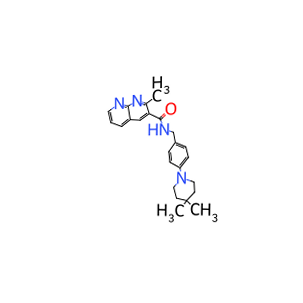 Cc1nc2ncccc2cc1C(=O)NCc1ccc(N2CCC(C)(C)CC2)cc1